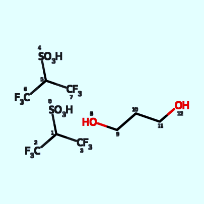 O=S(=O)(O)C(C(F)(F)F)C(F)(F)F.O=S(=O)(O)C(C(F)(F)F)C(F)(F)F.OCCCO